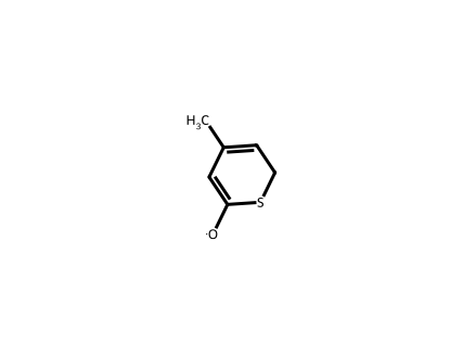 CC1=CCSC([O])=C1